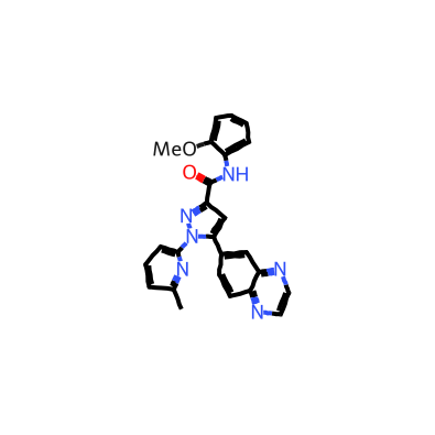 COc1ccccc1NC(=O)c1cc(-c2ccc3nccnc3c2)n(-c2cccc(C)n2)n1